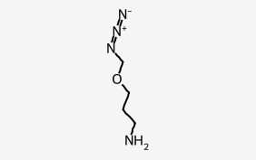 [N-]=[N+]=NCOCCCN